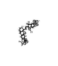 CCOP(=O)(OCC)Oc1ccc2c(c1)OC1=C(/C=C/C3=[N+](CC)c4ccc(S(=O)(=O)[O-])cc4C3(C)C)CCCC1=C2